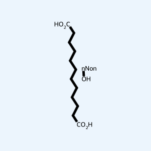 CCCCCCCCCO.O=C(O)CCCCCCCCCCC(=O)O